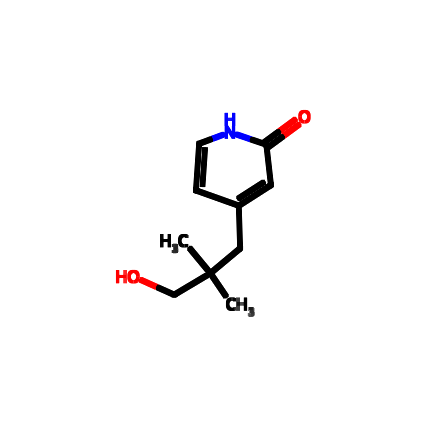 CC(C)(CO)Cc1cc[nH]c(=O)c1